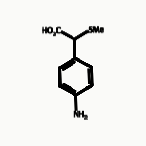 CSC(C(=O)O)c1ccc(N)cc1